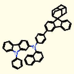 c1ccc(-n2c3ccccc3c3ccc(N(c4ccc(-c5ccc6c(c5)-c5ccccc5C65C6CC7CC(C6)CC5C7)cc4)c4cccc5ccccc45)cc32)cc1